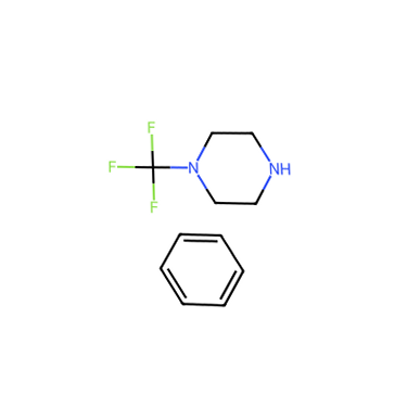 FC(F)(F)N1CCNCC1.c1ccccc1